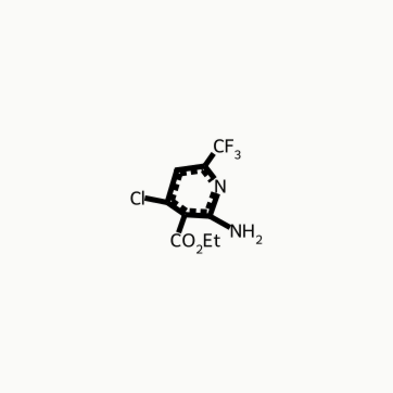 CCOC(=O)c1c(Cl)cc(C(F)(F)F)nc1N